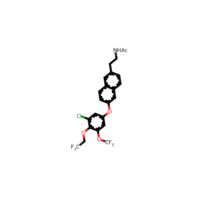 CC(=O)NCCc1ccc2cc(Oc3cc(Cl)c(OCC(F)(F)F)c(OC(F)(F)F)c3)ccc2c1